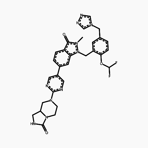 Cn1c(=O)c2ccc(-c3cnc(N4CCN5C(=O)NCC5C4)nc3)cc2n1Cc1cc(Cn2cnnc2)ccc1OC(F)F